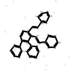 C(=Cc1ccc(-c2ccccc2)c(-c2ccccc2)c1C=Cc1ccccc1)c1ccccc1